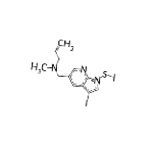 C=CCN(C)Cc1cnc2c(c1)c(I)cn2SI